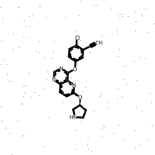 C#Cc1cc(Oc2ncnc3ccc(O[C@H]4CCNC4)nc23)ccc1Cl